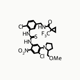 COCC1CCCN1c1cc(NC(=S)Nc2cc(CNC(=O)C3(C(F)(F)F)CC3)ccc2Cl)c([N+](=O)[O-])cc1Cl